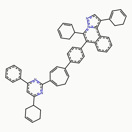 C1=CCCC(c2cnn3c(C4C=CC=CC4)c(-c4ccc(C5=CCC=C(c6nc(-c7ccccc7)cc(C7CC=CCC7)n6)C=C5)cc4)c4ccccc4c23)=C1